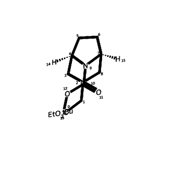 CCOC(=O)CN1C[C@H]2CC[C@@H](C1)N2C(=O)OC(C)(C)C